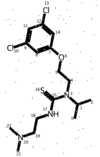 CC(C)N(CCOc1cc(Cl)cc(Cl)c1)C(=S)NCCN(C)C